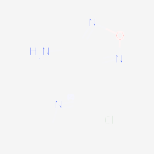 C/N=C(\Cl)c1nonc1N